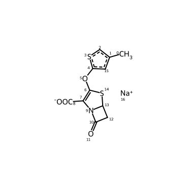 Cc1csc(OC2=C(C(=O)[O-])N3C(=O)CC3S2)c1.[Na+]